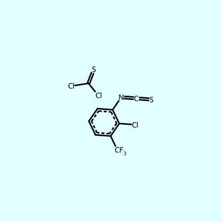 FC(F)(F)c1cccc(N=C=S)c1Cl.S=C(Cl)Cl